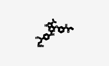 C=CC(=O)Nc1cccc(Oc2nc(Nc3ccc(N(CCC)CCNC)cc3)nc3[nH]cc(N(C)C)c23)c1